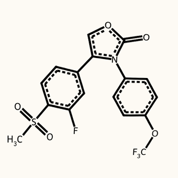 CS(=O)(=O)c1ccc(-c2coc(=O)n2-c2ccc(OC(F)(F)F)cc2)cc1F